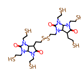 O=C1C(CCSSCCN2C(=O)N(CCS)C3C2C(CCS)C(=O)N3CCS)C2C(N1CCS)N(CCS)C(=O)N2CCS